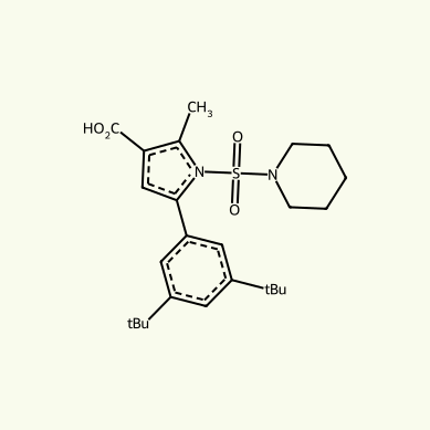 Cc1c(C(=O)O)cc(-c2cc(C(C)(C)C)cc(C(C)(C)C)c2)n1S(=O)(=O)N1CCCCC1